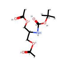 CC(=O)OCC(COC(C)=O)NC(=O)OC(C)(C)C